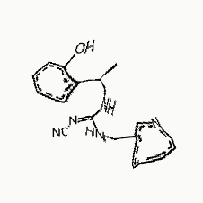 C[C@@H](N/C(=N/C#N)Nc1cccnc1)c1ccccc1O